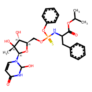 CC(C)OC(=O)C(Cc1ccccc1)NP(=S)(OC[C@H]1O[C@@H](N2C=CC(=O)NC2O)[C@](C)(O)[C@@H]1O)Oc1ccccc1